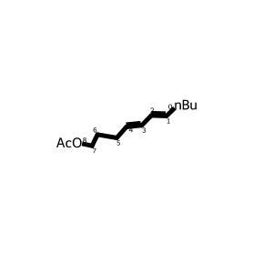 CCCCC=CC=CCCCOC(C)=O